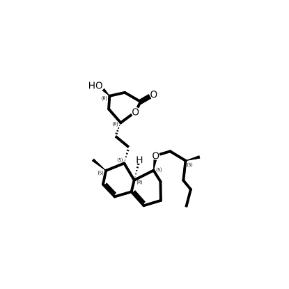 CCC[C@H](C)CO[C@H]1CCC=C2C=C[C@@H](C)[C@H](CC[C@@H]3C[C@@H](O)CC(=O)O3)[C@H]21